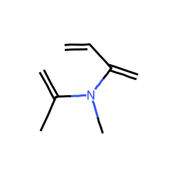 C=CC(=C)N(C)C(=C)C